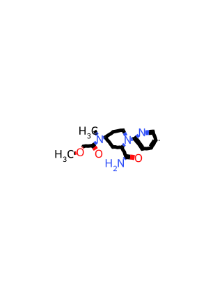 COCC(=O)N(C)C1CCN(c2cc[c]cn2)C(C(N)=O)C1